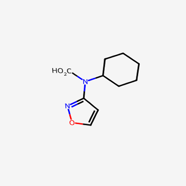 O=C(O)N(c1ccon1)C1CCCCC1